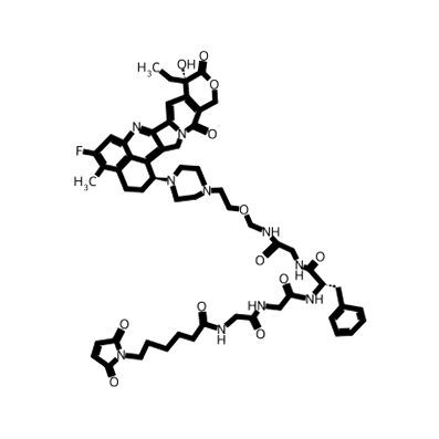 CC[C@@]1(O)C(=O)OCc2c1cc1n(c2=O)Cc2c-1nc1cc(F)c(C)c3c1c2[C@@H](N1CCN(CCOCNC(=O)CNC(=O)[C@H](Cc2ccccc2)NC(=O)CNC(=O)CNC(=O)CCCCCN2C(=O)C=CC2=O)CC1)CC3